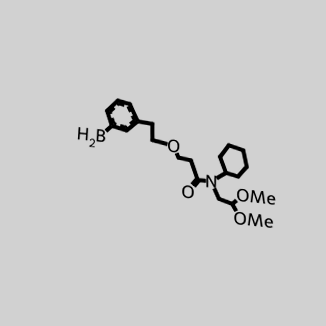 Bc1cccc(CCOCCC(=O)N(CC(OC)OC)C2CCCCC2)c1